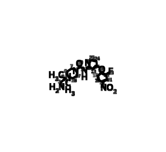 CC(C)(CN)N1CCN(C(=O)Nc2cc(Oc3ccc([N+](=O)[O-])cc3F)ccn2)CC1